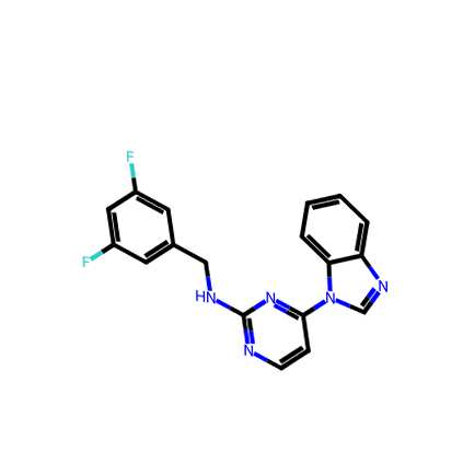 Fc1cc(F)cc(CNc2nccc(-n3cnc4ccccc43)n2)c1